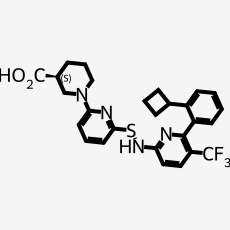 O=C(O)[C@H]1CCCN(c2cccc(SNc3ccc(C(F)(F)F)c(-c4ccccc4C4CCC4)n3)n2)C1